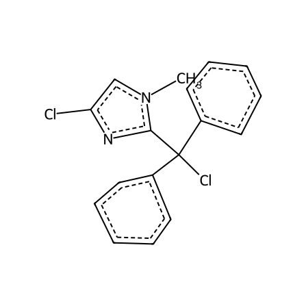 Cn1cc(Cl)nc1C(Cl)(c1ccccc1)c1ccccc1